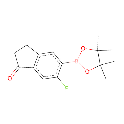 CC1(C)OB(c2cc3c(cc2F)C(=O)CC3)OC1(C)C